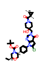 CC[C@H]1CN(C(=O)OC(C)(C)C)[C@H](c2ccc(-n3c(Cl)cc4c(=O)n(CC5(O)CCN(C(=O)[C@]6(C)C[C@H]6C)CC5)cnc43)cc2)CO1